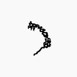 CCCCCCCc1cc(F)c(C(F)(F)OC2CCC(C3CCC(C(F)(F)Oc4cc(F)c(C(F)(F)F)c(F)c4)CC3)CC2)c(F)c1